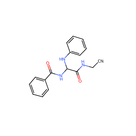 N#CCNC(=O)C(NC(=O)c1ccccc1)Nc1ccccc1